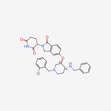 O=C1CCC(N2Cc3cc(O[C@@H]4CN(Cc5ccccc5Cl)CC[C@H]4NCc4ccccc4)ccc3C2=O)C(=O)N1